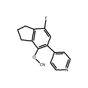 N#COc1c(-c2ccncc2)cc(F)c2c1CCC2